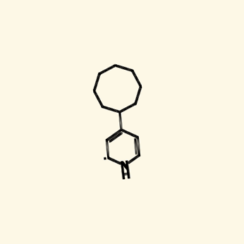 [CH]1C=C(C2CCCCCCC2)C=CN1